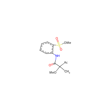 COC(C)(C(C)=O)C(=O)Nc1ccccc1S(=O)(=O)OC